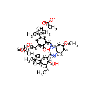 CC(=O)[O-].CC(=O)[O-].CCc1cc([Si](C)(C)C)cc(C=Nc2ccc(OC)cc2N=Cc2cc([Si](C)(C)C)cc(CC)c2O)c1O.[Co+2]